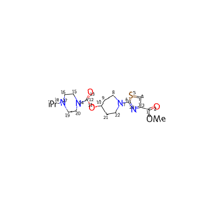 COC(=O)c1csc(N2CCC(OC(=O)N3CCN(C(C)C)CC3)CC2)n1